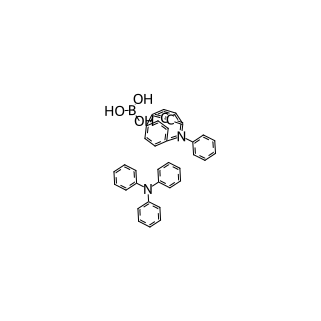 OB(O)O.c1ccc(-n2c3ccc(cc3)c3ccc2cc3)cc1.c1ccc(N(c2ccccc2)c2ccccc2)cc1